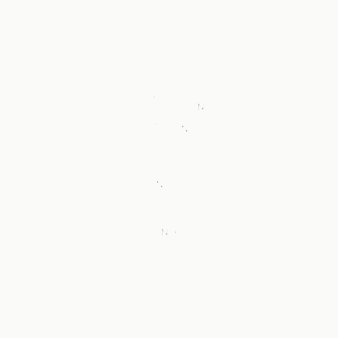 NN1C=C(c2ccccc2)n2c([N+](=O)[O-])cc3c2C(=CCC3)C1=O